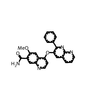 COc1cc2c(Oc3cc4cccnc4nc3-c3ccccc3)ccnc2cc1C(N)=O